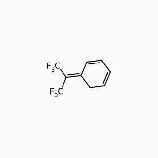 FC(F)(F)C(=C1C=CC=CC1)C(F)(F)F